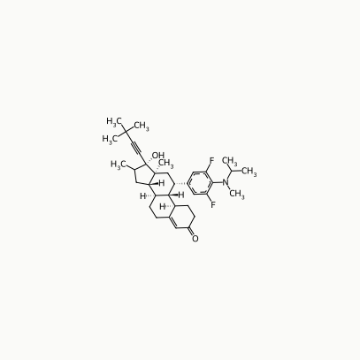 CC(C)N(C)c1c(F)cc([C@H]2C[C@@]3(C)[C@@H](CC(C)[C@@]3(O)C#CC(C)(C)C)[C@@H]3CCC4=CC(=O)CC[C@@H]4[C@H]32)cc1F